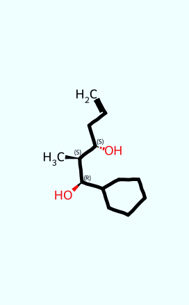 C=CC[C@H](O)[C@H](C)[C@H](O)C1CCCCC1